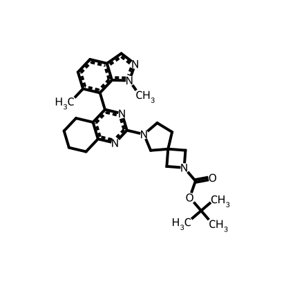 Cc1ccc2cnn(C)c2c1-c1nc(N2CCC3(CN(C(=O)OC(C)(C)C)C3)C2)nc2c1CCCC2